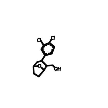 OCC1C2CCC(CC1c1ccc(Cl)c(Cl)c1)O2